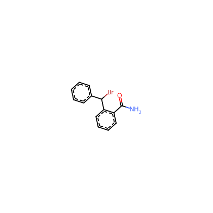 NC(=O)c1ccccc1C(Br)c1ccccc1